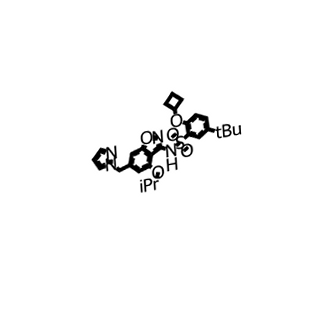 CC(C)Oc1cc(Cn2cccn2)cc2onc(NS(=O)(=O)c3cc(C(C)(C)C)ccc3OC3CCC3)c12